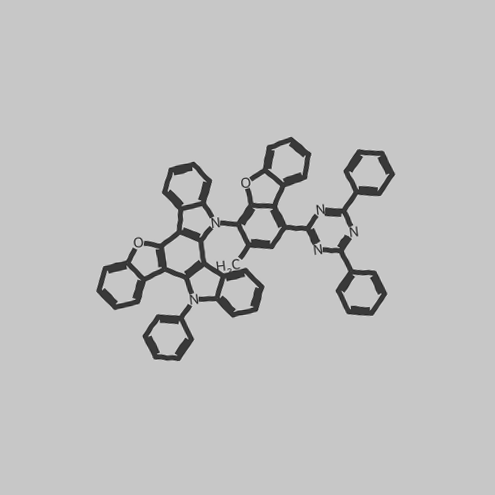 Cc1cc(-c2nc(-c3ccccc3)nc(-c3ccccc3)n2)c2c(oc3ccccc32)c1-n1c2ccccc2c2c3oc4ccccc4c3c3c(c4ccccc4n3-c3ccccc3)c21